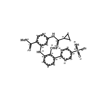 CNC(=O)c1cnc(NC(=O)C2CC2)cc1Nc1cccc(-c2ncc(S(=N)(=O)C(C)C)cn2)c1OC